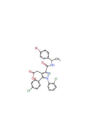 CC(NC(=O)c1nn(-c2ccccc2Cl)c(-c2ccc(Cl)cc2)c1CC(=O)O)c1ccc(Br)cc1